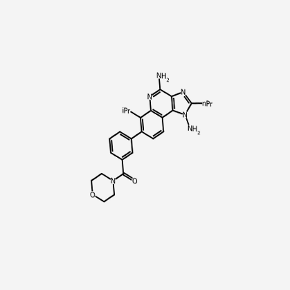 CCCc1nc2c(N)nc3c(C(C)C)c(-c4cccc(C(=O)N5CCOCC5)c4)ccc3c2n1N